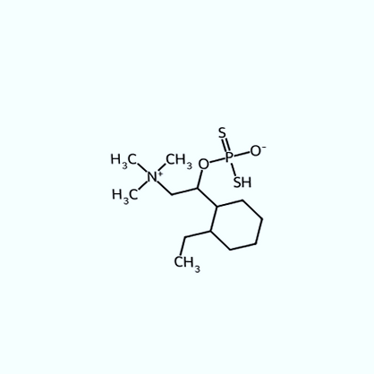 CCC1CCCCC1C(C[N+](C)(C)C)OP([O-])(=S)S